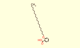 CCCCCCCCCCCCCCCCCCCOc1ccccc1C(=O)O